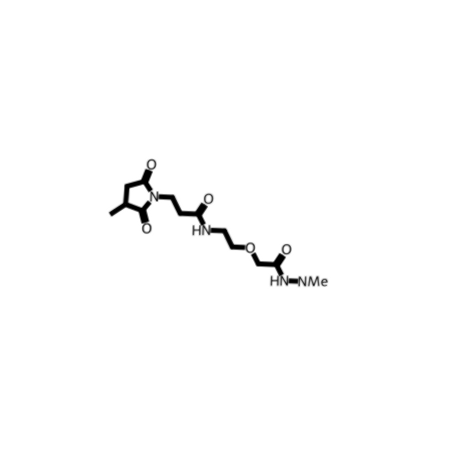 CNNC(=O)COCCNC(=O)CCN1C(=O)CC(C)C1=O